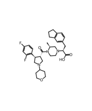 C[C@H]1CN([C@@H](Cc2ccc3c(c2)CCC3)C(=O)O)CCN1C(=O)[C@@H]1CN(C2CCOCC2)C[C@H]1c1ccc(F)cc1F